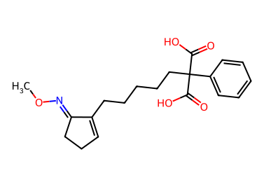 CON=C1CCC=C1CCCCCC(C(=O)O)(C(=O)O)c1ccccc1